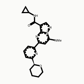 CNc1cc(-c2cccc([C@@H]3CCCCO3)n2)nc2c(C(=O)NC3CC3)cnn12